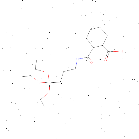 CCO[Si](CCCNC(=O)C1CCCCC1C(=O)O)(OCC)OCC